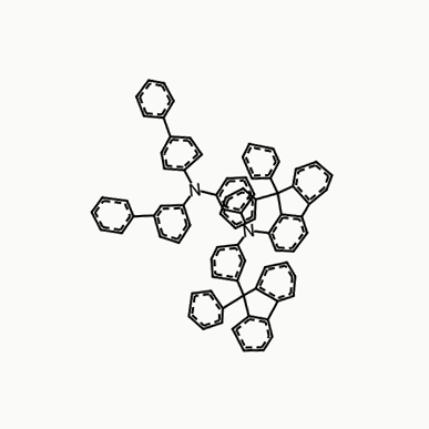 c1ccc(-c2ccc(N(c3cccc(-c4ccccc4)c3)c3cccc(N(c4cccc(C5(c6ccccc6)c6ccccc6-c6ccccc65)c4)c4cccc5c4C(c4ccccc4)(c4ccccc4)c4ccccc4-5)c3)cc2)cc1